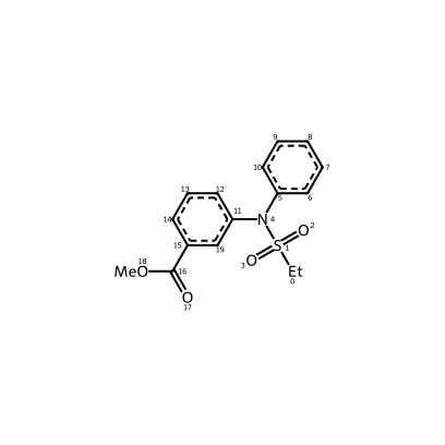 CCS(=O)(=O)N(c1ccccc1)c1cccc(C(=O)OC)c1